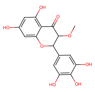 COC1C(=O)c2c(O)cc(O)cc2OC1c1cc(O)c(O)c(O)c1